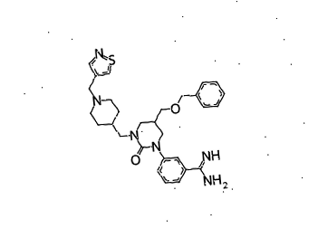 N=C(N)c1cccc(N2CC(COCc3ccccc3)CN(CC3CCN(Cc4cnsc4)CC3)C2=O)c1